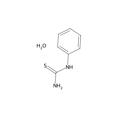 NC(=S)Nc1ccccc1.O